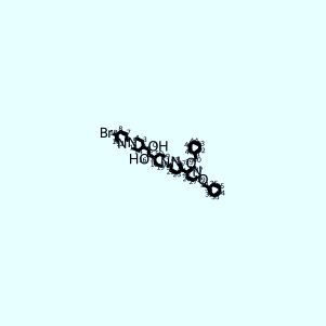 OC(C1CCN(c2ccc(Br)cn2)CC1)C(O)C1CCN(c2ccc(-c3ccc(OCc4ccccc4)nc3OCc3ccccc3)cn2)CC1